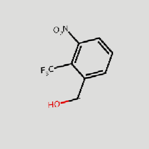 O=[N+]([O-])c1cccc([CH]O)c1C(F)(F)F